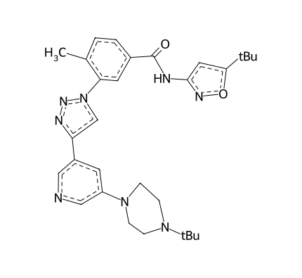 Cc1ccc(C(=O)Nc2cc(C(C)(C)C)on2)cc1-n1cc(-c2cncc(N3CCN(C(C)(C)C)CC3)c2)nn1